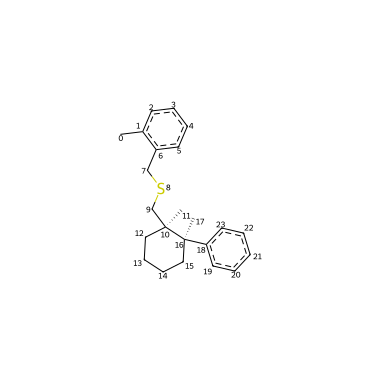 Cc1ccccc1CSC[C@]1(C)CCCC[C@]1(C)c1ccccc1